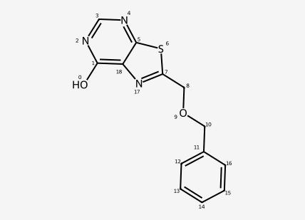 Oc1ncnc2sc(COCc3ccccc3)nc12